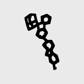 Brc1ccc2c(c1)sc1cc(-c3ccc4c(c3)-c3ccccc3C43C4CC5CC6CC3C64C5)ccc12